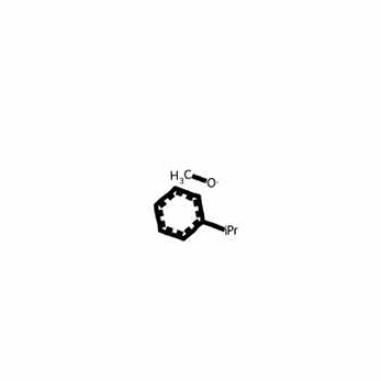 C[O].[CH2]C(C)c1ccccc1